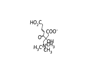 C[N+](C)(C)CC(O)(CC(=O)[O-])C(=O)C=CCC(=O)O